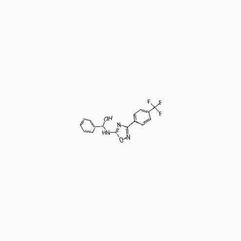 OC(Nc1nc(-c2ccc(C(F)(F)F)cc2)no1)c1ccccc1